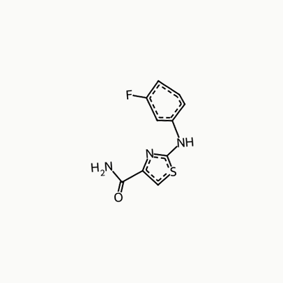 NC(=O)c1csc(Nc2cccc(F)c2)n1